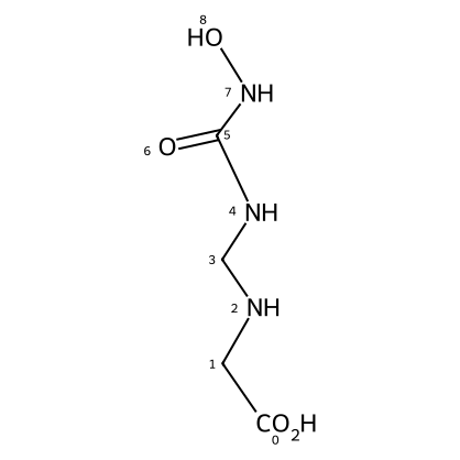 O=C(O)CNCNC(=O)NO